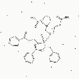 NC(=O)CCC[C@@H](CN1CCC[C@H]1C(=O)O)OP(=O)(OCOC(=O)c1ccccc1)C(Cc1ccccc1)OC(=O)c1ccccc1